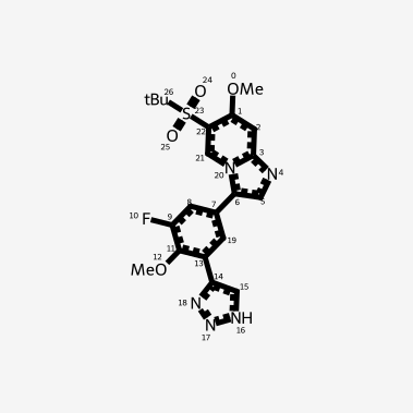 COc1cc2ncc(-c3cc(F)c(OC)c(-c4c[nH]nn4)c3)n2cc1S(=O)(=O)C(C)(C)C